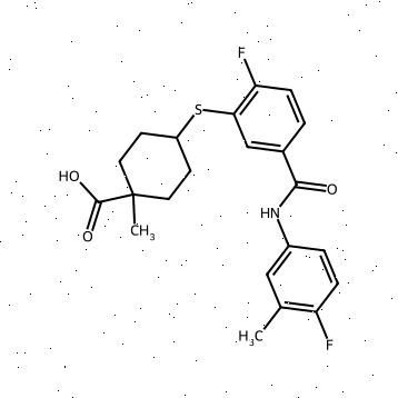 Cc1cc(NC(=O)c2ccc(F)c(SC3CCC(C)(C(=O)O)CC3)c2)ccc1F